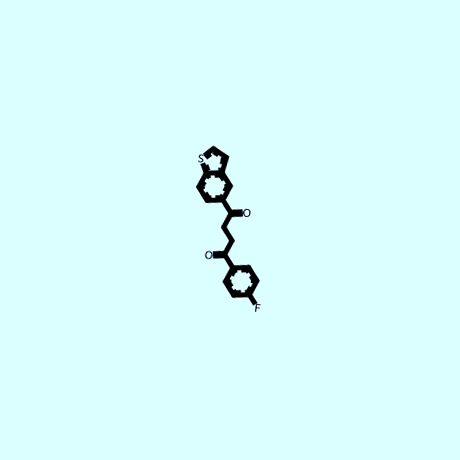 O=C(CCC(=O)c1ccc2sccc2c1)c1ccc(F)cc1